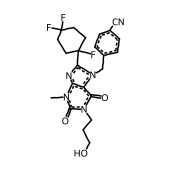 Cn1c(=O)n(CCCO)c(=O)c2c1nc(C1(F)CCC(F)(F)CC1)n2Cc1ccc(C#N)cc1